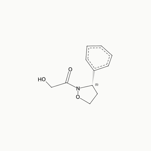 O=C(CO)N1OCC[C@H]1c1ccccc1